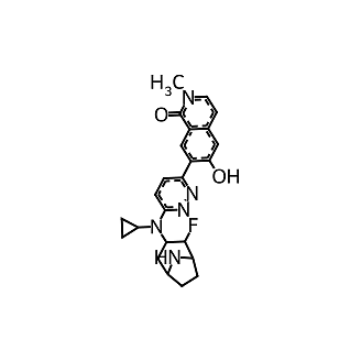 Cn1ccc2cc(O)c(-c3ccc(N(C4CC4)C4CC5CCC(N5)C4F)nn3)cc2c1=O